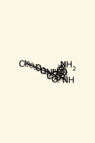 CC(=O)Oc1cc(C(=O)NCCOCCOCCCCCCCl)ccc1-c1c2ccc(=N)cc-2oc2cc(N)ccc12